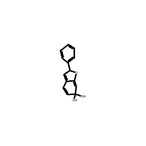 OC1(O)C=CC2=CC(c3ccccc3)OC2=C1